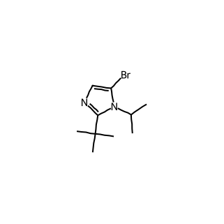 CC(C)n1c(Br)cnc1C(C)(C)C